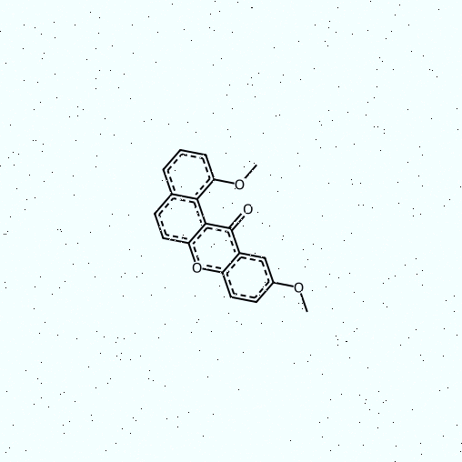 COc1ccc2oc3ccc4cccc(OC)c4c3c(=O)c2c1